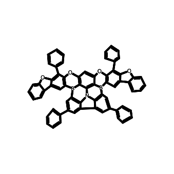 c1ccc(-c2cc3c4c(c2)c2cc(-c5ccccc5)cc5c2n4-c2c4c(cc6c2B5c2cc5c(oc7ccccc75)c(-c5ccccc5)c2O6)Oc2c(cc5c(oc6ccccc65)c2-c2ccccc2)B43)cc1